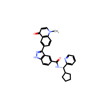 Cn1ccc(=O)c2cc(-c3n[nH]c4ccc(C(=O)N[C@H](c5ccccn5)C5CCCC5)cc34)ccc21